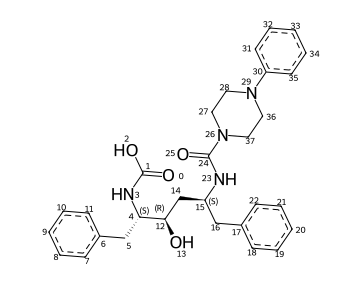 O=C(O)N[C@@H](Cc1ccccc1)[C@H](O)C[C@H](Cc1ccccc1)NC(=O)N1CCN(c2ccccc2)CC1